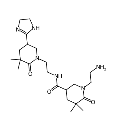 CC1(C)CC(C(=O)NCCN2CC(C3=NCCN3)CC(C)(C)C2=O)CN(CCN)C1=O